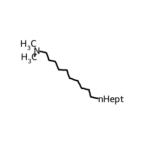 [CH2]CCCCCCCCCCCCCCCCN(C)C